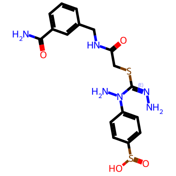 N/N=C(/SCC(=O)NCc1cccc(C(N)=O)c1)N(N)c1ccc(S(=O)O)cc1